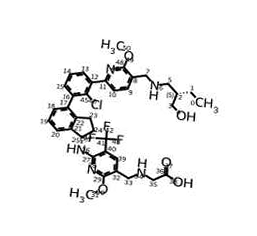 CC[C@H](CO)CNCc1ccc(-c2cccc(-c3cccc4c3CC[C@@H]4Nc3nc(OC)c(CNCC(=O)O)cc3C(F)(F)F)c2Cl)nc1OC